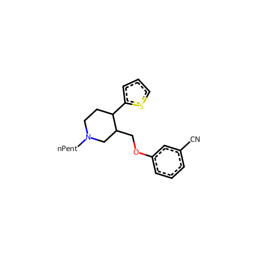 CCCCCN1CCC(c2cccs2)C(COc2cccc(C#N)c2)C1